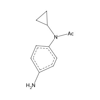 CC(=O)N(c1ccc(N)cc1)C1CC1